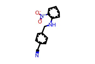 N#Cc1ccc(CNc2ccccc2[N+](=O)[O-])cc1